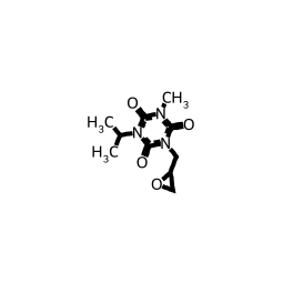 CC(C)n1c(=O)n(C)c(=O)n(CC2CO2)c1=O